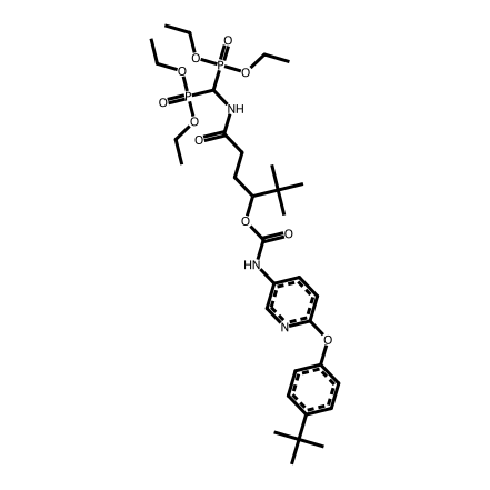 CCOP(=O)(OCC)C(NC(=O)CCC(OC(=O)Nc1ccc(Oc2ccc(C(C)(C)C)cc2)nc1)C(C)(C)C)P(=O)(OCC)OCC